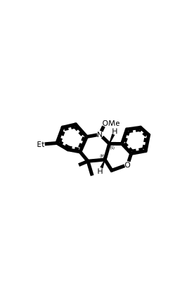 [CH2]Cc1ccc2c(c1)C(C)(C)[C@H]1COc3ccccc3[C@H]1N2OC